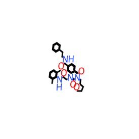 Cc1cccc(C)c1NC(=O)Cn1c(=O)n(CC2CCCO2)c(=O)c2ccc(C(=O)NCCc3ccccc3)cc21